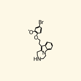 COc1cc(Br)ccc1OCCc1c2n(c3ccccc13)CCNCC2